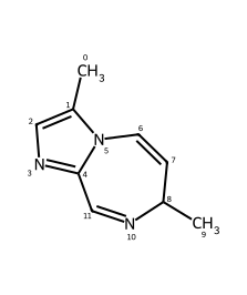 Cc1cnc2n1C=CC(C)N=C2